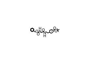 CC(C)(C)OC(=O)N1CCC(CCNC(=O)CNC(=O)OCc2ccccc2)CC1